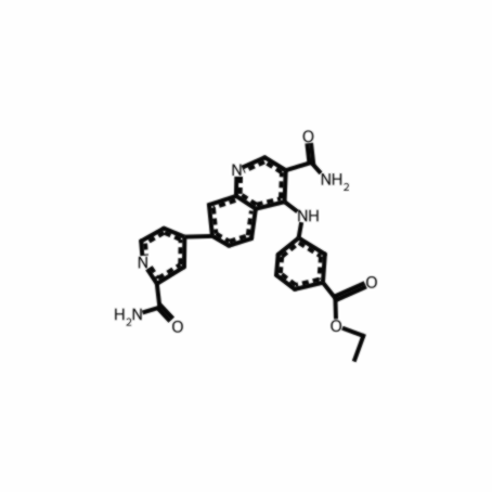 CCOC(=O)c1cccc(Nc2c(C(N)=O)cnc3cc(-c4ccnc(C(N)=O)c4)ccc23)c1